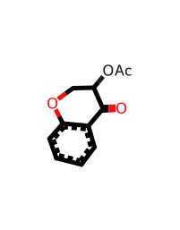 CC(=O)OC1COc2ccccc2C1=O